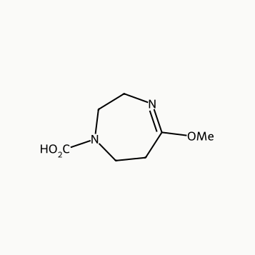 COC1=NCCN(C(=O)O)CC1